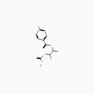 CCC(NC(=O)OC(C)(C)C)C(C)OC(=O)c1ccc([N+](=O)[O-])cc1